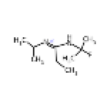 CC/C(=N\C(C)C)NC(C)(C)F